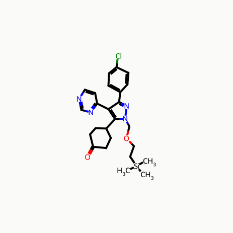 C[Si](C)(C)CCOCn1nc(-c2ccc(Cl)cc2)c(-c2ccncn2)c1C1CCC(=O)CC1